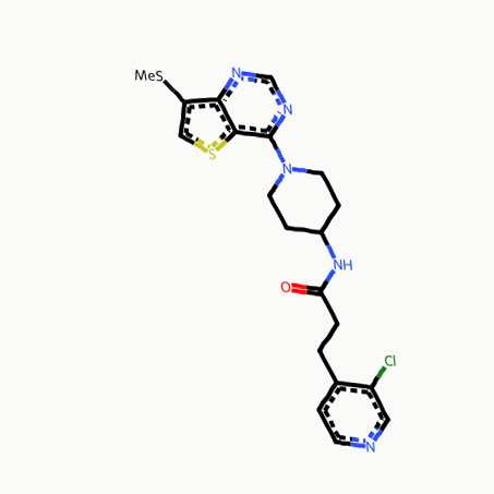 CSc1csc2c(N3CCC(NC(=O)CCc4ccncc4Cl)CC3)ncnc12